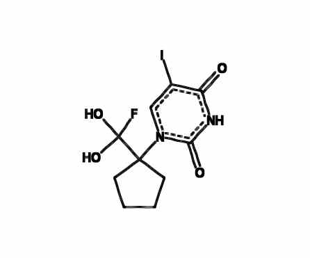 O=c1[nH]c(=O)n(C2(C(O)(O)F)CCCC2)cc1I